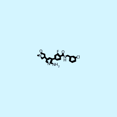 CN1CC(c2cnc(N)c(-c3ccc(C(=O)NCc4cccc(Cl)c4)c(F)c3)c2)CC1=O